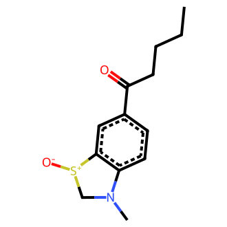 CCCCC(=O)c1ccc2c(c1)[S+]([O-])CN2C